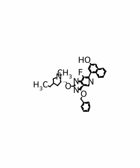 CCC1C[C@@H](COc2nc(OCc3ccccc3)c3cnc(-c4cc(O)cc5ccccc45)c(F)c3n2)N(C)C1